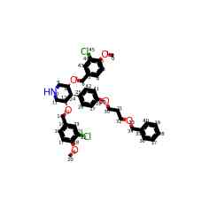 COc1ccc(CO[C@H]2CNC[C@@H](OCc3ccc(OC)c(Cl)c3)[C@H]2c2ccc(OCCCOCc3ccccc3)cc2)cc1Cl